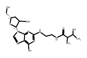 CC(O)C(N)C(=O)NCCNc1nc(S)c2ncn([C@@H]3O[C@H](CO)CC3O)c2n1